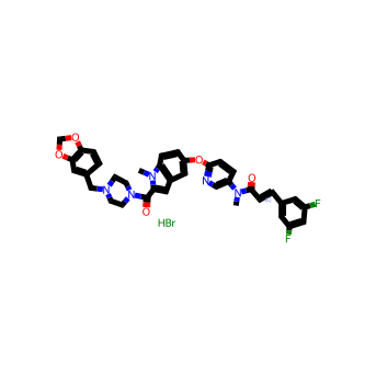 Br.CN(C(=O)/C=C/c1cc(F)cc(F)c1)c1ccc(Oc2ccc3c(c2)cc(C(=O)N2CCN(Cc4ccc5c(c4)OCO5)CC2)n3C)nc1